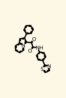 O=C(Nc1ccc(-c2nccs2)cc1)C(=O)c1c(-c2ccccc2)cc2ccccn12